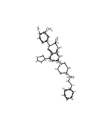 Cc1cc(C2C=c3c(C4CCCC4)nc(N4CCC(NCCc5ccccc5)CC4)nc3=NC2=O)ccc1F